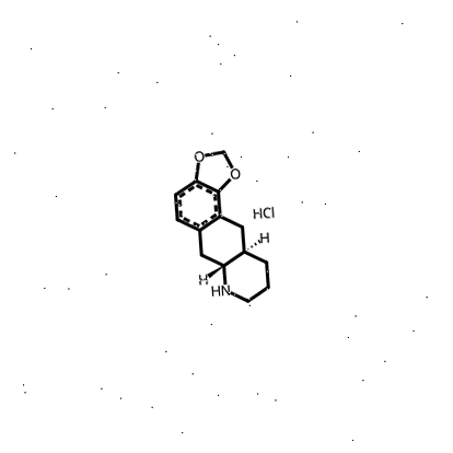 Cl.c1cc2c(c3c1C[C@H]1NCCC[C@@H]1C3)OCO2